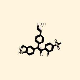 CC/C(=C(/c1ccc(/C=C/C(=O)O)cc1)c1ccc2[nH]ncc2c1)c1ccc(S(C)(=O)=O)cc1F